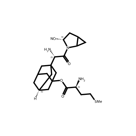 CSCC[C@H](N)C(=O)OC12CC3C[C@H](C1)CC([C@H](N)C(=O)N1C4CC4C[C@H]1C#N)(C3)C2